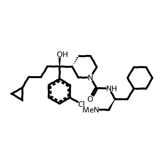 CNC[C@H](CC1CCCCC1)NC(=O)N1CCC[C@@H]([C@@](O)(CCCC2CC2)c2cccc(Cl)c2)C1